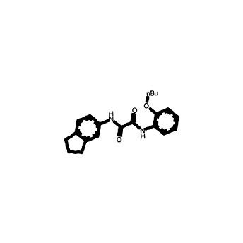 CCCCOc1ccccc1NC(=O)C(=O)Nc1ccc2c(c1)CCC2